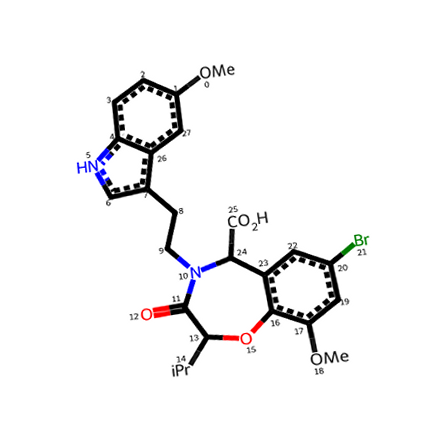 COc1ccc2[nH]cc(CCN3C(=O)C(C(C)C)Oc4c(OC)cc(Br)cc4C3C(=O)O)c2c1